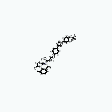 CCc1cccc(C)c1N1C(=O)CS/C1=N\C(O)NCOc1ccc(-c2ncn(-c3ccc(OC(F)(F)F)cc3)n2)cc1